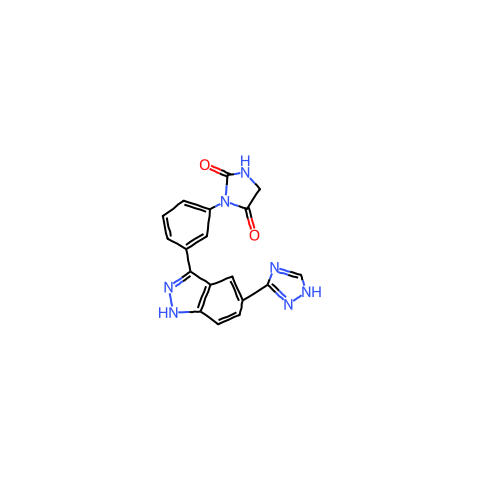 O=C1CNC(=O)N1c1cccc(-c2n[nH]c3ccc(-c4nc[nH]n4)cc23)c1